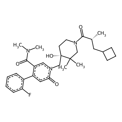 C[C@H](CC1CCC1)C(=O)N1CC[C@](O)(Cn2cc(C(=O)N(C)C)c(-c3ccccc3F)cc2=O)C(C)(C)C1